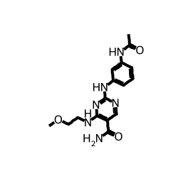 COCCNc1nc(Nc2cccc(NC(C)=O)c2)ncc1C(N)=O